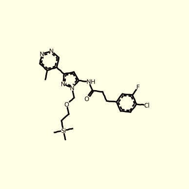 Cc1cnncc1-c1cc(NC(=O)CCc2ccc(Cl)c(F)c2)n(COCC[Si](C)(C)C)n1